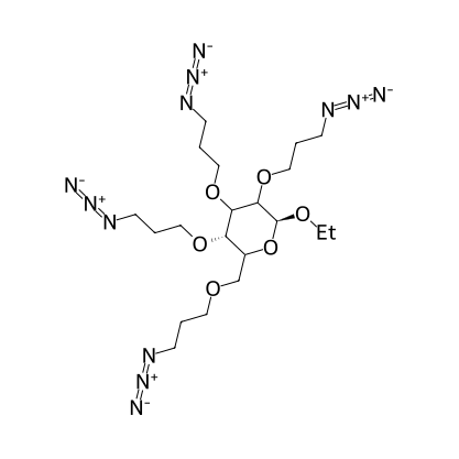 CCO[C@H]1OC(COCCCN=[N+]=[N-])[C@H](OCCCN=[N+]=[N-])C(OCCCN=[N+]=[N-])C1OCCCN=[N+]=[N-]